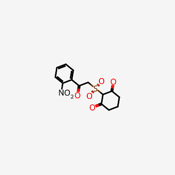 O=C(CS(=O)(=O)C1C(=O)CCCC1=O)c1ccccc1[N+](=O)[O-]